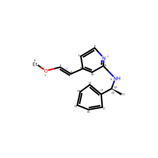 CCO/C=C/c1ccnc(N[C@@H](C)c2ccccc2)c1